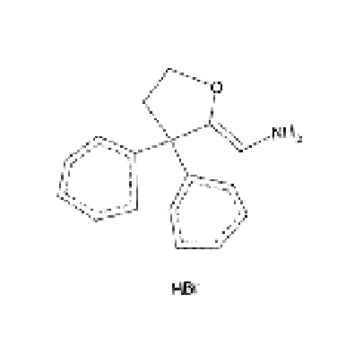 Br.NC=C1OCCC1(c1ccccc1)c1ccccc1